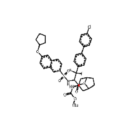 CC(C)(C)OC(=O)NC1CC2CCC(C1)N2C(=O)C(NS(=O)(=O)c1ccc2cc(OC3CCCC3)ccc2c1)C(F)(F)c1ccc(-c2ccc(Cl)cc2)cc1